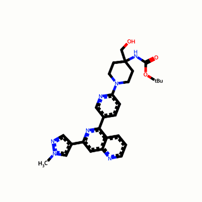 Cn1cc(-c2cc3ncccc3c(-c3ccc(N4CCC(CO)(NC(=O)OC(C)(C)C)CC4)nc3)n2)cn1